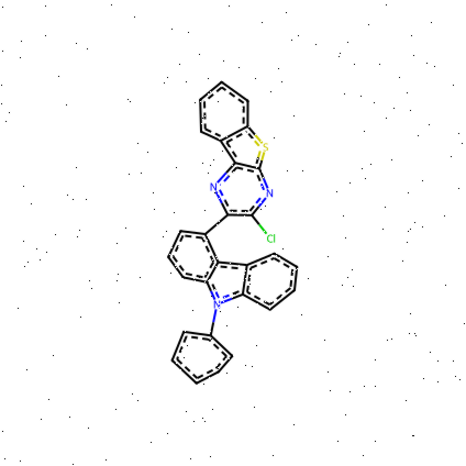 Clc1nc2sc3ccccc3c2nc1-c1cccc2c1c1ccccc1n2-c1ccccc1